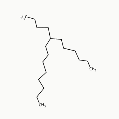 [CH2]CCCC(CCCCCC)CCCCCCCC